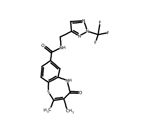 CC1=C(C)C(=O)Nc2cc(C(=O)NCc3cnn(C(F)(F)F)n3)ccc2S1